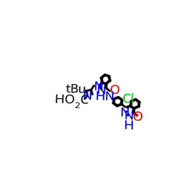 CC(C)(C)C1C(Cn2nc(C(=O)Nc3ccc(-c4n[nH]c(=O)c5ccccc45)c(Cl)c3)c3ccccc32)CN1C(=O)O